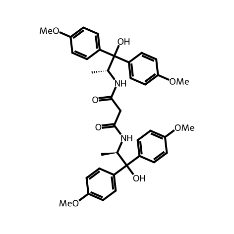 COc1ccc(C(O)(c2ccc(OC)cc2)[C@@H](C)NC(=O)CC(=O)N[C@H](C)C(O)(c2ccc(OC)cc2)c2ccc(OC)cc2)cc1